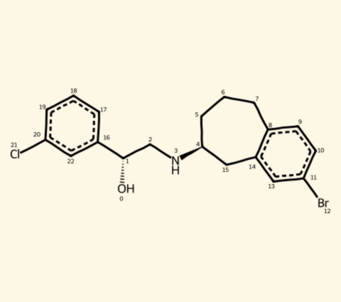 O[C@@H](CN[C@H]1CCCc2ccc(Br)cc2C1)c1cccc(Cl)c1